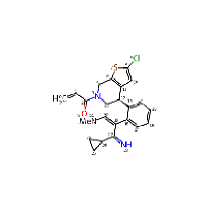 C=CC(=O)N1Cc2sc(Cl)cc2[C@@H](c2ccccc2/C(=C/NC)C(=N)C2CC2)C1